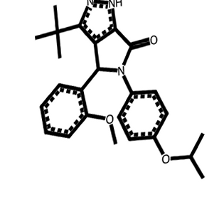 COc1ccccc1C1c2c(C(C)(C)C)n[nH]c2C(=O)N1c1ccc(OC(C)C)cc1